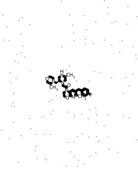 Cc1nc2c(cc1Cc1ccc(F)cc1)N(C(=O)CN1C[C@@H](C)NC[C@@H]1CN1CCOC[C@H]1C)CCO2